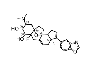 CN(C)[C@H]1C[C@@]23CC[C@@]4(O2)C(=CC[C@]2(C)C(c5ccc6ocnc6c5)=CCC24)CC3(F)[C@@H](O)[C@@H]1O